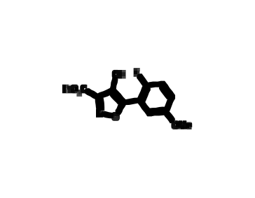 CCOC(=O)c1noc(-c2cc(OC)ccc2F)c1O